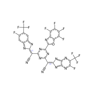 N#C/C(=C1\N=c2cc(F)c(C(F)(F)F)cc2=N1)c1nc(/C(C#N)=C2/N=c3nc(F)c(C(F)(F)F)nc3=N2)nc(-c2nc3c(F)c(F)c(F)c(F)c3o2)n1